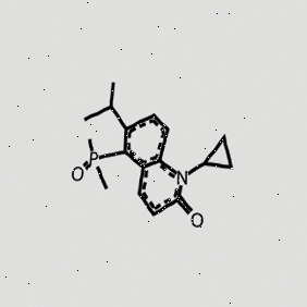 CC(C)c1ccc2c(ccc(=O)n2C2CC2)c1P(C)(C)=O